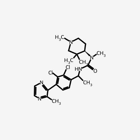 Cc1nccnc1-c1ccc(C(C)NC(=O)N(C)[C@@H]2CCN(C)CC2(C)C)c(Cl)c1Cl